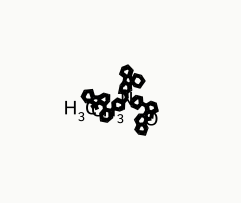 CC1(C)c2ccccc2-c2cccc(-c3ccccc3-c3ccc(N(c4ccc(-c5cccc6oc7c8ccccc8ccc7c56)cc4)c4ccc5c(c4)C4(CCCCC4)c4ccccc4-5)cc3)c21